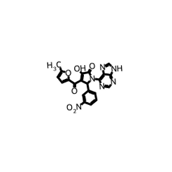 Cc1ccc(C(=O)C2=C(O)C(=O)N(c3ncnc4[nH]cnc34)C2c2cccc([N+](=O)[O-])c2)o1